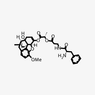 COc1ccc2c3c1O[C@@H]1C(OC(=O)[C@H](C)OC(=O)CCNC(=O)[C@@H](N)Cc4ccccc4)=CC[C@]4(O)[C@H](C2)N(C)CC[C@@]314